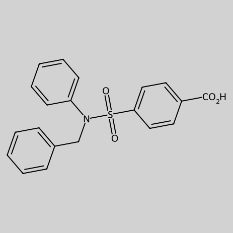 O=C(O)c1ccc(S(=O)(=O)N(Cc2ccccc2)c2ccccc2)cc1